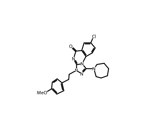 COc1ccc(CCn2nc(N3CCCCCC3)n3c4ccc(Cl)cc4c(=O)nc23)cc1